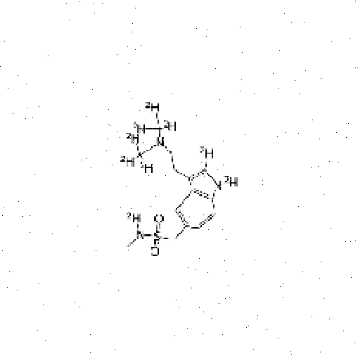 [2H]c1c(CCN(C([2H])([2H])[2H])C([2H])([2H])[2H])c2cc(CS(=O)(=O)N([2H])C)ccc2n1[2H]